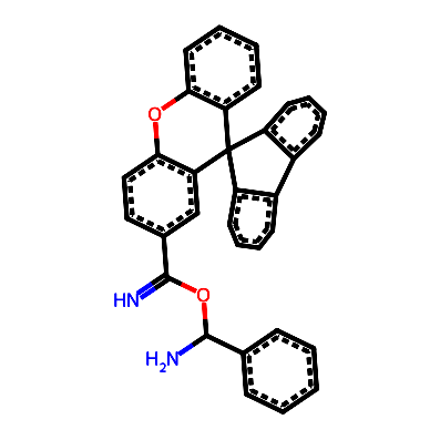 N=C(OC(N)c1ccccc1)c1ccc2c(c1)C1(c3ccccc3O2)c2ccccc2-c2ccccc21